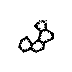 c1ccc2c(c1)ncc1ccc3nocc3c12